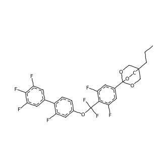 CCCC12COC(c3cc(F)c(C(F)(F)Oc4ccc(-c5cc(F)c(F)c(F)c5)c(F)c4)c(F)c3)(OC1)OC2